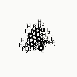 Bc1c(B)c(B)c(-c2c3ccccc3c(-c3c(B)c(B)c(B)c(B)c3B)c3cc(-n4c(C(B)(B)B)nc5ccccc54)ccc23)c(B)c1B